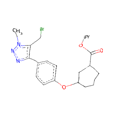 CC(C)OC(=O)C1CCCC(Oc2ccc(-c3nnn(C)c3CBr)cc2)C1